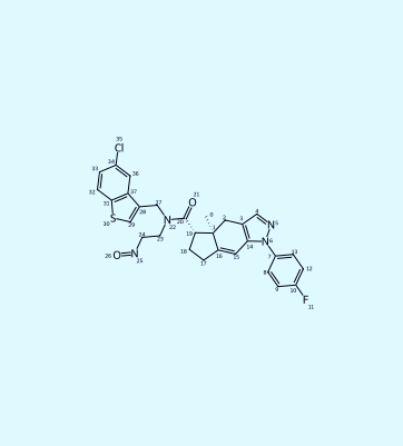 C[C@]12Cc3cnn(-c4ccc(F)cc4)c3C=C1CC[C@@H]2C(=O)N(CCN=O)Cc1csc2ccc(Cl)cc12